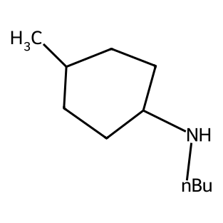 [CH2-][CH+]CCNC1CCC(C)CC1